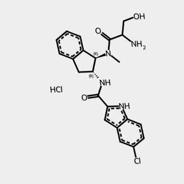 CN(C(=O)C(N)CO)[C@@H]1c2ccccc2C[C@H]1NC(=O)c1cc2cc(Cl)ccc2[nH]1.Cl